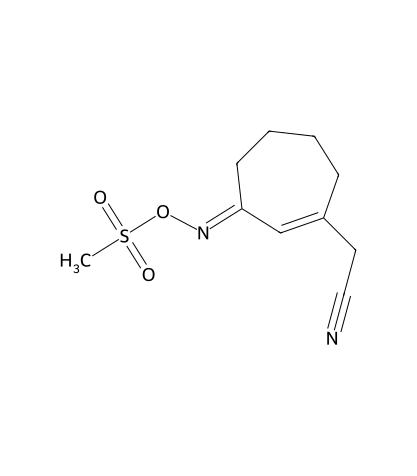 CS(=O)(=O)O/N=C1/C=C(CC#N)CCCC1